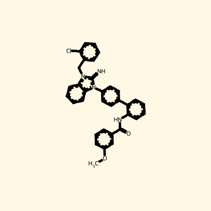 COc1cccc(C(=O)Nc2ccccc2-c2ccc(-n3c(=N)n(Cc4ccccc4Cl)c4ccccc43)cc2)c1